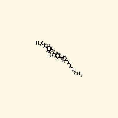 CCCCCCCCc1cnc(-c2ccc(C(=O)Oc3ccc(CCC)cc3F)cc2)cn1